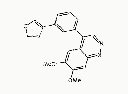 COc1cc2nncc(-c3cccc(-c4ccoc4)c3)c2cc1OC